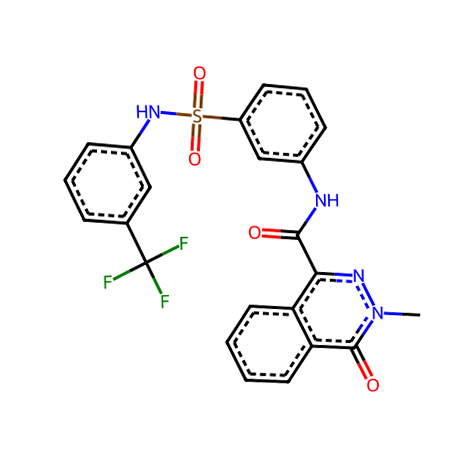 Cn1nc(C(=O)Nc2cccc(S(=O)(=O)Nc3cccc(C(F)(F)F)c3)c2)c2ccccc2c1=O